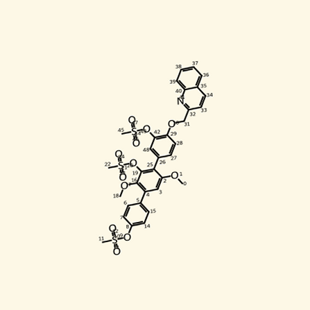 COc1cc(-c2ccc(OS(C)(=O)=O)cc2)c(OC)c(OS(C)(=O)=O)c1-c1ccc(OCc2ccc3ccccc3n2)c(OS(C)(=O)=O)c1